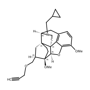 C#CCOC[C@H]1C[C@@]23CC[C@]1(OC)[C@@H]1Oc4c(OC)ccc5c4[C@@]12CCN(CC1CC1)[C@@H]3C5